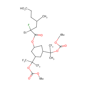 CCC(F)(CC(C)CCC(=O)O)C(=O)OC1CC(C(C)(OC(=O)OC(C)(C)C)C(F)(F)F)CC(C(OC(=O)OC(C)(C)C)(C(F)(F)F)C(F)(F)F)C1